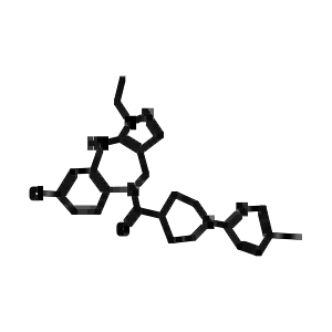 CCn1ncc2c1Nc1cc(Cl)ccc1N(C(=O)C1CCN(c3ccc(C)cn3)CC1)C2